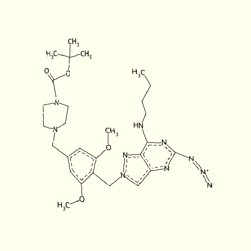 CCCCNc1nc(N=[N+]=[N-])nc2cn(Cc3c(OC)cc(CN4CCN(C(=O)OC(C)(C)C)CC4)cc3OC)nc12